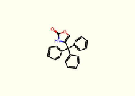 O=c1[nH]c(C(c2ccccc2)(c2ccccc2)c2ccccc2)co1